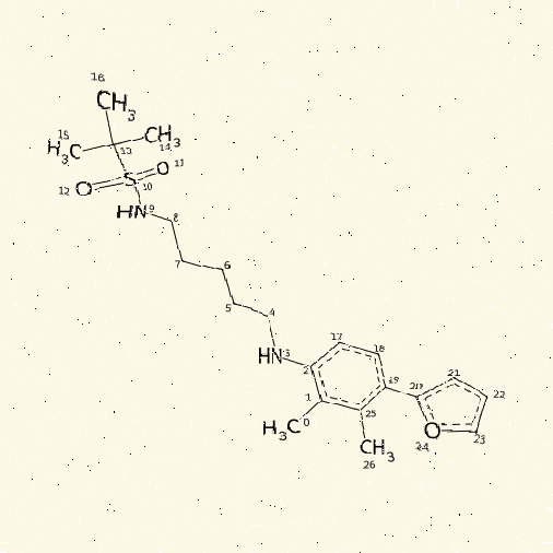 Cc1c(NCCCCCNS(=O)(=O)C(C)(C)C)ccc(-c2ccco2)c1C